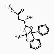 COC(=O)C[C@H](O)CO[Si](c1ccccc1)(c1ccccc1)C(C)(C)C